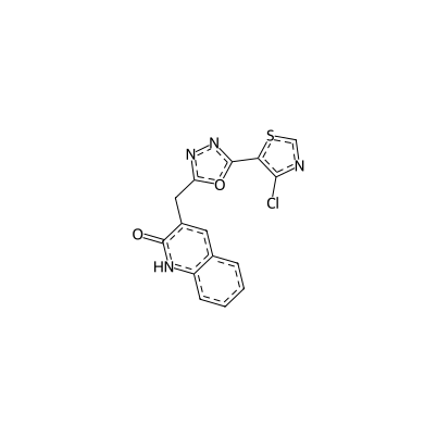 O=c1[nH]c2ccccc2cc1Cc1nnc(-c2scnc2Cl)o1